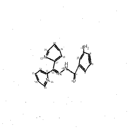 Bc1cccc(C(=O)NN=C(c2ccccn2)c2ccccn2)c1